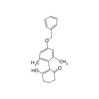 Cc1cc(OCc2ccccc2)cc(C)c1C1=C(O)CCCC1=O